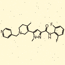 CC1=C(c2cc(C(=O)Nc3c(F)cccc3F)nn2C)CN(Cc2ccncc2)CC1